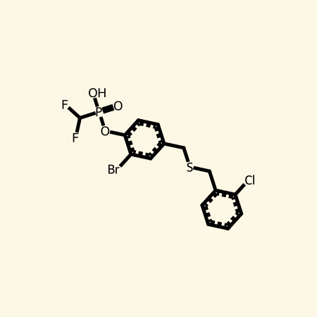 O=P(O)(Oc1ccc(CSCc2ccccc2Cl)cc1Br)C(F)F